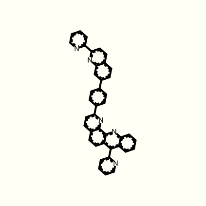 c1ccc(-c2ccc3ccc(-c4ccc(-c5ccc6ccc7c(-c8ccccn8)c8ccccc8nc7c6n5)cc4)cc3n2)nc1